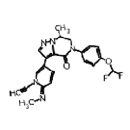 C#Cn1cc(-c2cnn3c2C(=O)N(c2ccc(OC(F)F)cc2)C[C@@H]3C)cc/c1=N/C